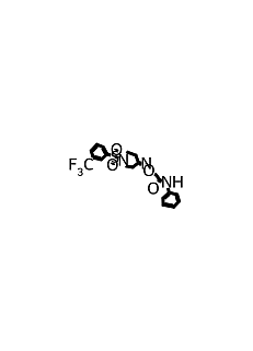 O=C(CON=C1CCN(S(=O)(=O)c2cccc(C(F)(F)F)c2)CC1)Nc1ccccc1